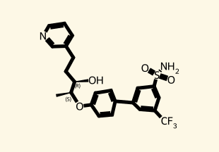 C[C@H](Oc1ccc(-c2cc(C(F)(F)F)cc(S(N)(=O)=O)c2)cc1)[C@H](O)CCc1cccnc1